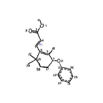 COC(=O)/C=C/C1=C(C)C(Oc2ccccc2)CCC1(C)C